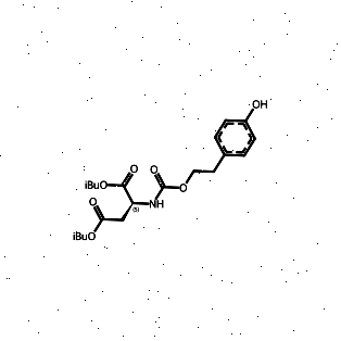 CC(C)COC(=O)C[C@H](NC(=O)OCCc1ccc(O)cc1)C(=O)OCC(C)C